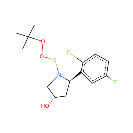 CC(C)(C)OOSN1C[C@@H](O)C[C@@H]1c1cc(F)ccc1F